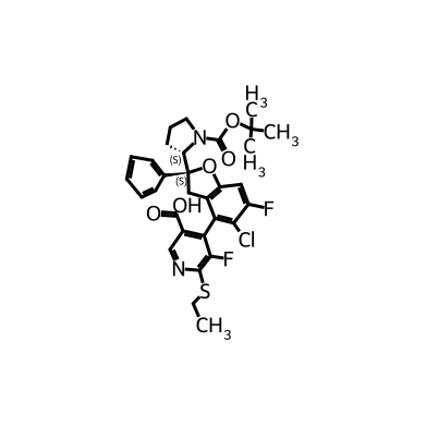 CCSc1ncc(C(=O)O)c(-c2c(Cl)c(F)cc3c2C[C@](c2ccccc2)([C@@H]2CCCN2C(=O)OC(C)(C)C)O3)c1F